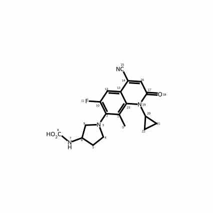 Cc1c(N2CCC(NC(=O)O)C2)c(F)cc2c(C#N)cc(=O)n(C3CC3)c12